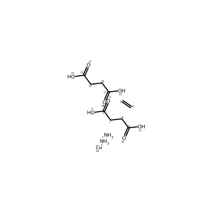 C=C.N.N.O=C(O)CCC(=O)O.O=C(O)CCC(=O)O.[Cu]